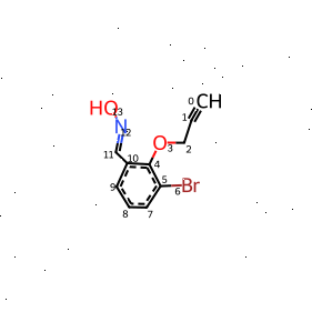 C#CCOc1c(Br)cccc1C=NO